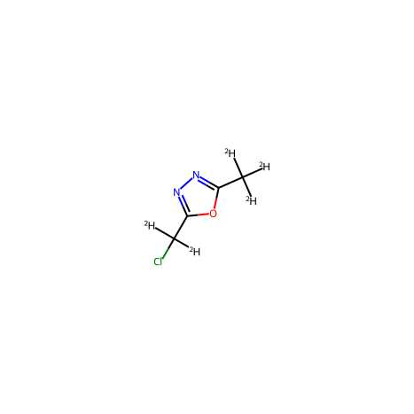 [2H]C([2H])([2H])c1nnc(C([2H])([2H])Cl)o1